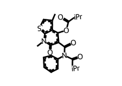 Cc1csc2c1c(OC(=O)C(C)C)c(C(=O)N(C(=O)C(C)C)c1ccccc1)c(=O)n2C